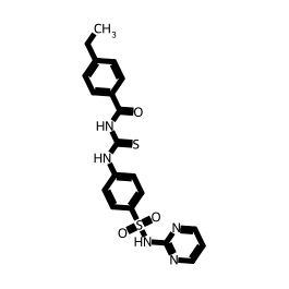 CCc1ccc(C(=O)NC(=S)Nc2ccc(S(=O)(=O)Nc3ncccn3)cc2)cc1